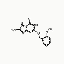 COc1ccccc1CNc1nc2nc(N)[nH]c2c(=O)[nH]1